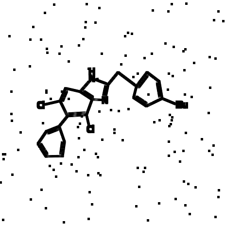 CCC(C)c1ccc(Cc2nc3c(Cl)c(-c4ccccc4)c(Cl)cc3[nH]2)cc1